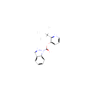 CC(C)(C)c1ncccc1OC(=O)n1ncc2ccccc21